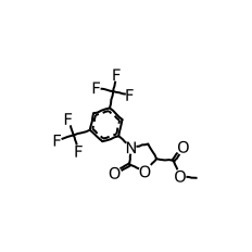 COC(=O)C1CN(c2cc(C(F)(F)F)cc(C(F)(F)F)c2)C(=O)O1